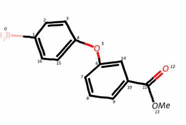 Bc1ccc(Oc2cccc(C(=O)OC)c2)cc1